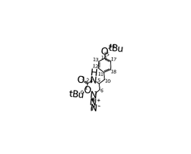 CC(C)(C)OC(=O)NC(CN=[N+]=[N-])Cc1ccc(OC(C)(C)C)cc1